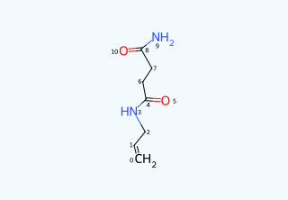 C=CCNC(=O)CCC(N)=O